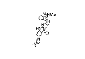 CCOc1cc(N2CC[C@H](N(C)C)C2)ccc1Nc1ncc(I)c(Nc2ccccc2S(=O)(=O)NC)n1